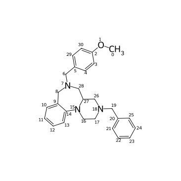 COc1ccc(CN2Cc3ccccc3N3CCN(Cc4ccccc4)CC3C2)cc1